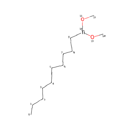 CCCCCCCCC[CH2][Ti]([O]C)[O]C